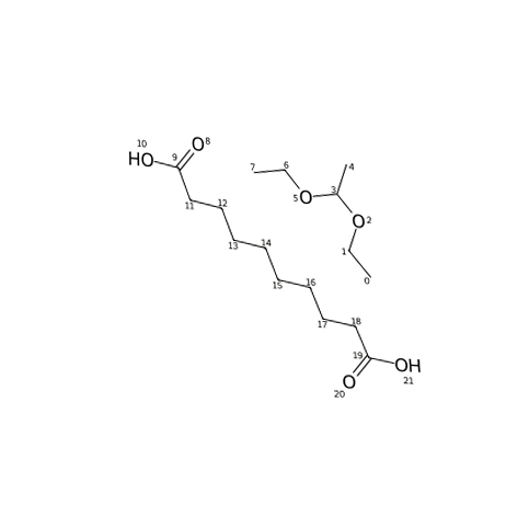 CCOC(C)OCC.O=C(O)CCCCCCCCC(=O)O